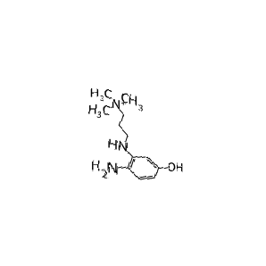 C[N+](C)(C)CCCNc1cc(O)ccc1N